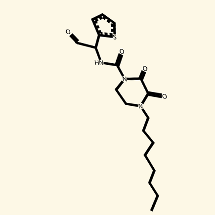 CCCCCCCCN1CCN(C(=O)NC([C]=O)c2cccs2)C(=O)C1=O